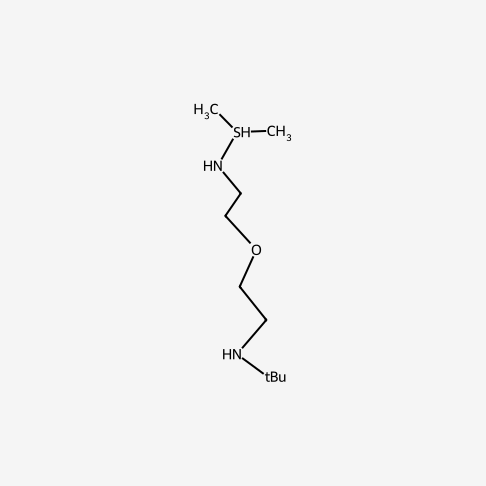 C[SH](C)NCCOCCNC(C)(C)C